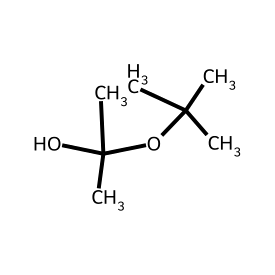 CC(C)(C)OC(C)(C)O